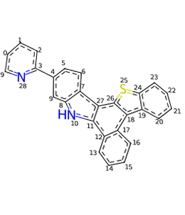 c1ccc(-c2ccc3c(c2)[nH]c2c4ccccc4c4c5ccccc5sc4c32)nc1